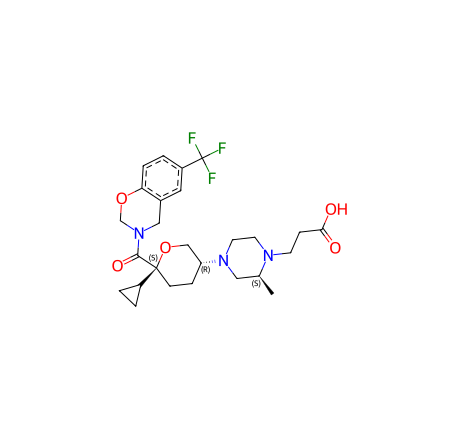 C[C@H]1CN([C@@H]2CC[C@@](C(=O)N3COc4ccc(C(F)(F)F)cc4C3)(C3CC3)OC2)CCN1CCC(=O)O